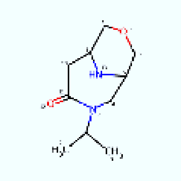 CC(C)N1CC2COCC(CC1=O)N2